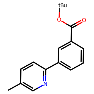 Cc1ccc(-c2cccc(C(=O)OC(C)(C)C)c2)nc1